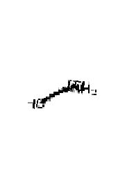 [CH2]NC(=O)CCCCCCCCCCCCCCO